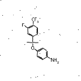 CC(C)(Oc1ccc(N)cc1)c1ccc(C(F)(F)F)c(F)c1